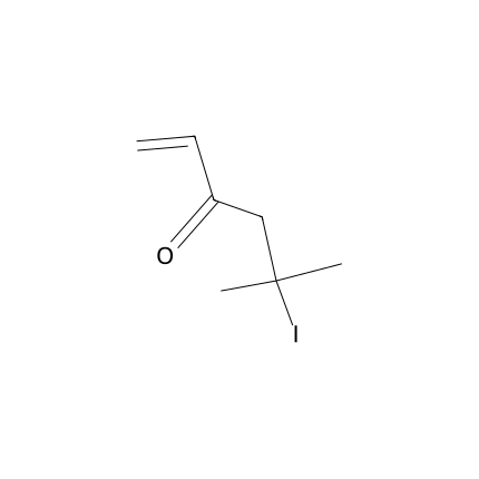 C=CC(=O)CC(C)(C)I